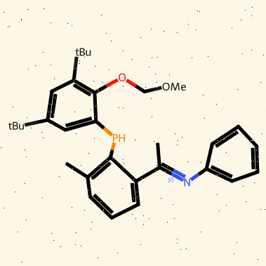 COCOc1c(Pc2c(C)cccc2/C(C)=N/c2ccccc2)cc(C(C)(C)C)cc1C(C)(C)C